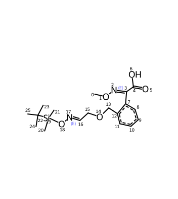 CO/N=C(/C(=O)O)c1ccccc1COC/C=N/O[Si](C)(C)C(C)(C)C